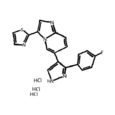 Cl.Cl.Cl.Fc1ccc(-c2n[nH]cc2-c2ccc3ncc(-c4nccs4)n3c2)cc1